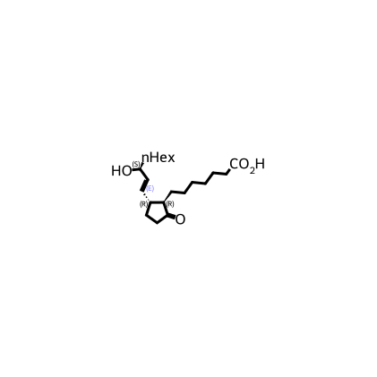 CCCCCC[C@H](O)/C=C/[C@H]1CCC(=O)[C@@H]1CCCCCCC(=O)O